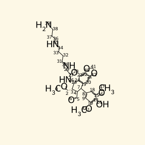 COC[C@H]1C(C=O)C(c2cc(OC)c(O)c(OC)c2)c2cc3c(cc2[C@H]1NC(=O)CNCCCCNCCCN)OCO3